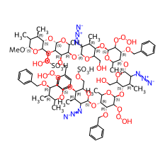 CO[C@H]1OC(COS(=O)(=O)O)[C@@H](O[C@@H]2OC(C)[C@@H](O[C@H]3OC(CO)[C@H](O[C@@H]4OC(C)[C@@H](O[C@H]5OC(CO)[C@@H](O[C@@H]6OC(C)[C@@H](O[C@@H]7OC(COS(=O)(=O)O)[C@H](O[C@@H]8OC(C)[C@@H](C)[C@@H](OCc9ccccc9)C8OOO)[C@H](C)C7N=[N+]=[N-])[C@@H](OCc7ccccc7)C6OOO)[C@H](C)C5N=[N+]=[N-])[C@@H](OCc5ccccc5)C4OOO)[C@H](C)C3N=[N+]=[N-])[C@@H](OCc3ccccc3)C2OOO)[C@H](C)C1C